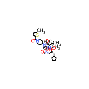 Cc1ccc(C(=O)N2CCC(N(C)C(=O)[C@@H](NC(=O)[C@H](CC3CCCC3)CN(O)C=O)C(C)(C)C)CC2)s1